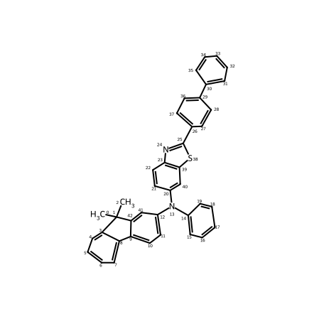 CC1(C)c2ccccc2-c2ccc(N(c3ccccc3)c3ccc4nc(-c5ccc(-c6ccccc6)cc5)sc4c3)cc21